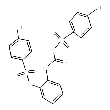 Cc1ccc(S(=O)(=O)Oc2ccccc2NC(=O)NS(=O)(=O)c2ccc(Cl)cc2)cc1